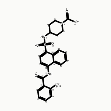 CCCC(=O)N1CCC(NS(=O)(=O)c2ccc(NC(=O)c3ccccc3C(F)(F)F)c3ccccc23)CC1